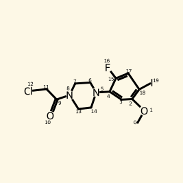 COc1cc(N2CCN(C(=O)CCl)CC2)c(F)cc1I